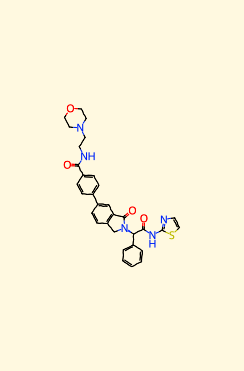 O=C(NCCN1CCOCC1)c1ccc(-c2ccc3c(c2)C(=O)N([C@@H](C(=O)Nc2nccs2)c2ccccc2)C3)cc1